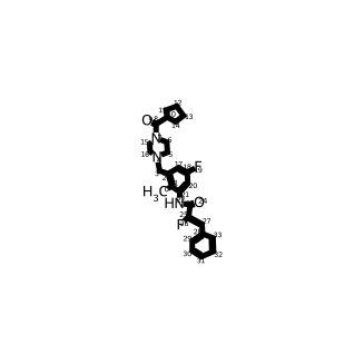 Cc1c(CN2CCN(C(=O)C3CCCC3)CC2)cc(F)cc1NC(=O)/C(F)=C/c1ccccc1